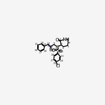 O=C1NCCCCC1N(C/C(Br)=C/c1ccccc1)S(=O)(=O)c1ccc(Cl)cc1